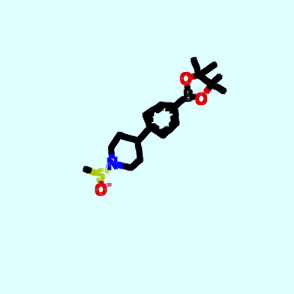 C[S+]([O-])N1CCC(c2ccc(B3OC(C)(C)C(C)(C)O3)cc2)CC1